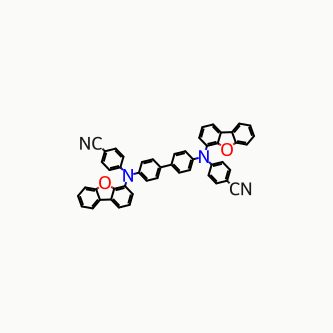 N#Cc1ccc(N(c2ccc(-c3ccc(N(c4ccc(C#N)cc4)c4cccc5c4oc4ccccc45)cc3)cc2)c2cccc3c2oc2ccccc23)cc1